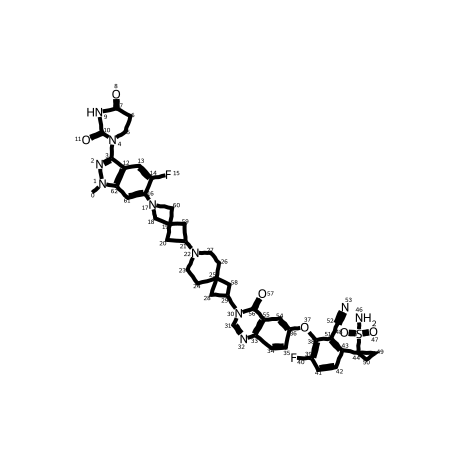 Cn1nc(N2CCC(=O)NC2=O)c2cc(F)c(N3CC4(CC(N5CCC6(CC5)CC(n5cnc7ccc(Oc8c(F)ccc(C9(S(N)(=O)=O)CC9)c8C#N)cc7c5=O)C6)C4)C3)cc21